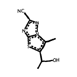 Cc1c(C(C)O)sc2nc(C#N)nn12